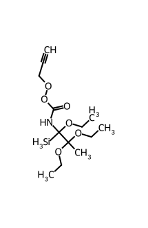 C#CCOOC(=O)NC([SiH3])(OCC)C(C)(OCC)OCC